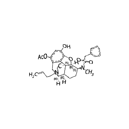 C=CCN1CC[C@]23c4c5c(OC(C)=O)cc(O)c4O[C@H]2[C@@H](N(C)S(=O)(=O)Cc2ccccc2)CC[C@H]3[C@H]1C5